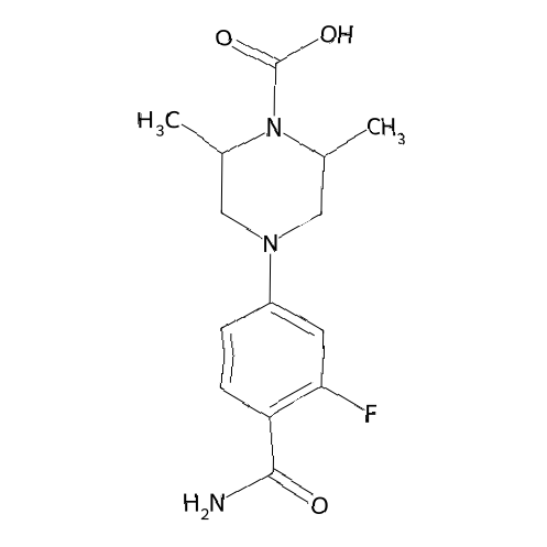 CC1CN(c2ccc(C(N)=O)c(F)c2)CC(C)N1C(=O)O